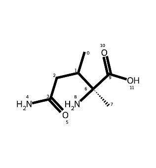 CC(CC(N)=O)[C@](C)(N)C(=O)O